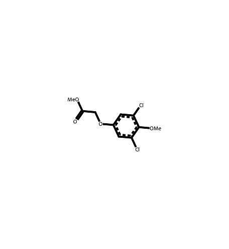 COC(=O)COc1cc(Cl)c(OC)c(Cl)c1